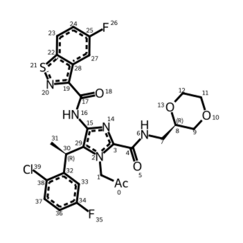 CC(=O)Cn1c(C(=O)NC[C@@H]2COCCO2)nc(NC(=O)c2nsc3ccc(F)cc23)c1[C@H](C)c1cc(F)ccc1Cl